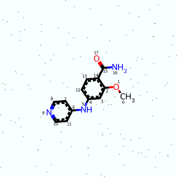 COc1cc(Nc2ccncc2)ccc1C(N)=O